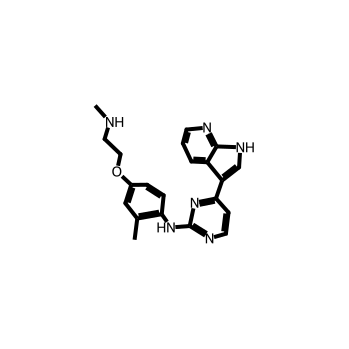 CNCCOc1ccc(Nc2nccc(-c3c[nH]c4ncccc34)n2)c(C)c1